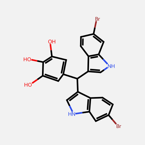 Oc1cc(C(c2c[nH]c3cc(Br)ccc23)c2c[nH]c3cc(Br)ccc23)cc(O)c1O